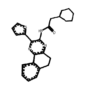 O=C(CC1CCCCC1)Nc1nc2c(nc1-c1cccs1)-c1ccccc1CC2